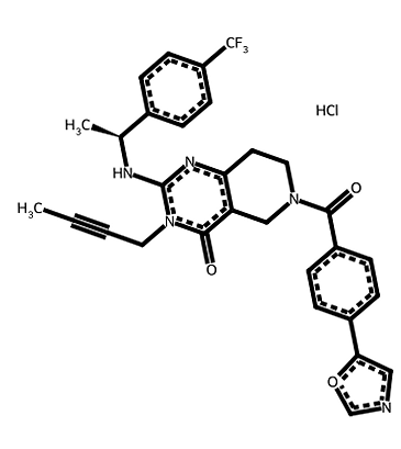 CC#CCn1c(N[C@@H](C)c2ccc(C(F)(F)F)cc2)nc2c(c1=O)CN(C(=O)c1ccc(-c3cnco3)cc1)CC2.Cl